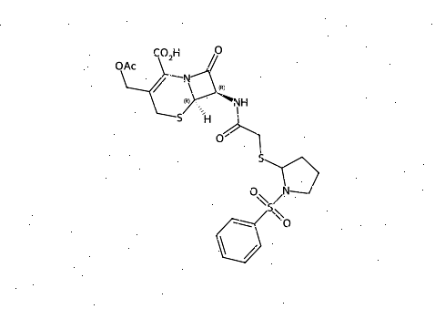 CC(=O)OCC1=C(C(=O)O)N2C(=O)[C@@H](NC(=O)CSC3CCCN3S(=O)(=O)c3ccccc3)[C@H]2SC1